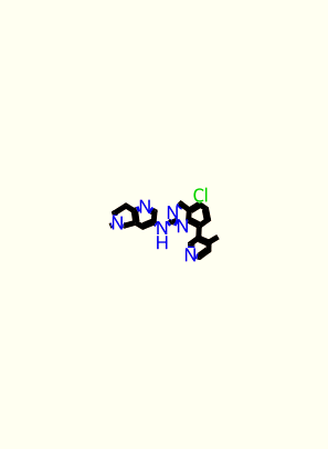 Cc1ccncc1-c1ccc(Cl)c2cnc(Nc3cnc4c(c3)CN(C)CC4)nc12